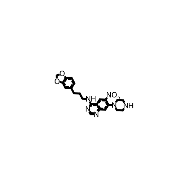 O=[N+]([O-])c1cc2c(NCCCc3ccc4c(c3)OCO4)ncnc2cc1N1CCNCC1